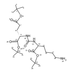 CC(C)(C)OC(=O)CC[C@H](NC(=O)NC(CCCCN)C(=O)OC(C)(C)C)C(=O)OC(C)(C)C